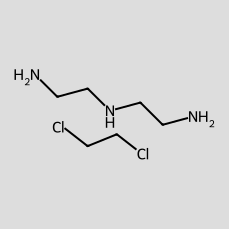 ClCCCl.NCCNCCN